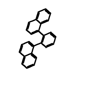 [c]1cc[c]c(-c2cccc3ccccc23)c1-c1cccc2ccccc12